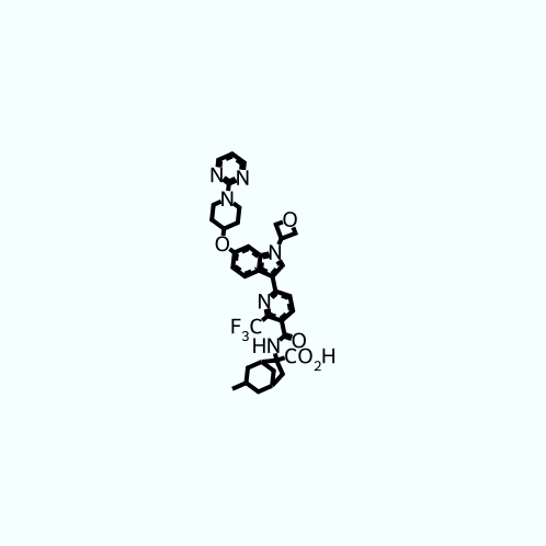 CC1CC2CC(C1)C(NC(=O)c1ccc(-c3cn(C4COC4)c4cc(OC5CCN(c6ncccn6)CC5)ccc34)nc1C(F)(F)F)(C(=O)O)C2